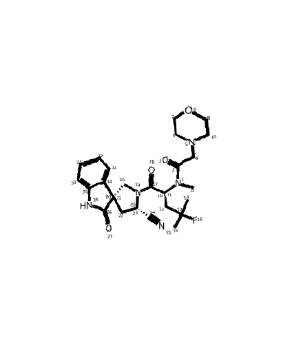 CN(C(=O)CN1CCOCC1)[C@@H](CC(C)(C)F)C(=O)N1C[C@]2(C[C@H]1C#N)C(=O)Nc1ccccc12